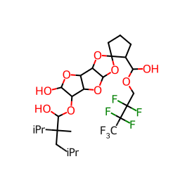 CC(C)CC(C)(C(C)C)C(O)OC1C(O)OC2C3OC4(CCCC4C(O)OCC(F)(F)C(F)(F)C(F)(F)F)OC3OC12